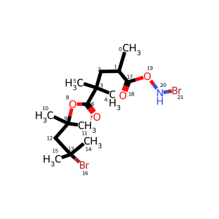 CC(CC(C)(C)C(=O)OC(C)(C)CC(C)(C)Br)C(=O)ONBr